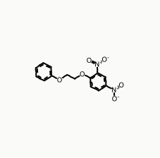 O=[N+]([O-])c1ccc(OCCOc2ccccc2)c([N+](=O)[O-])c1